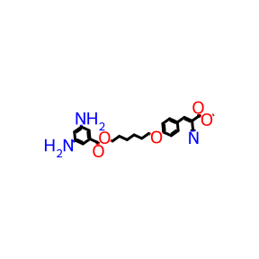 COC(=O)/C(C#N)=C/c1ccc(OCCCCCCOC(=O)c2cc(N)cc(N)c2)cc1